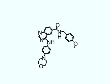 COc1ccc(CNC(=O)c2ccc3ncnc(Nc4ccc(N5CCOCC5)cc4)c3c2)cc1